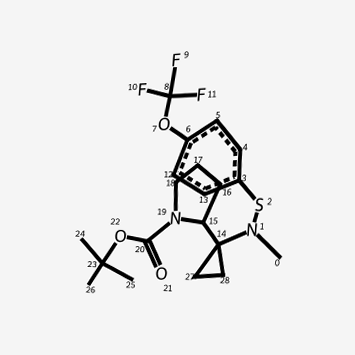 CN(Sc1ccc(OC(F)(F)F)cc1)C1(C2CCCN2C(=O)OC(C)(C)C)CC1